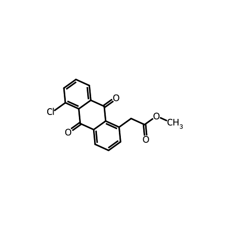 COC(=O)Cc1cccc2c1C(=O)c1cccc(Cl)c1C2=O